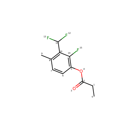 CCC(=O)Oc1ccc(C)c(C(F)F)c1F